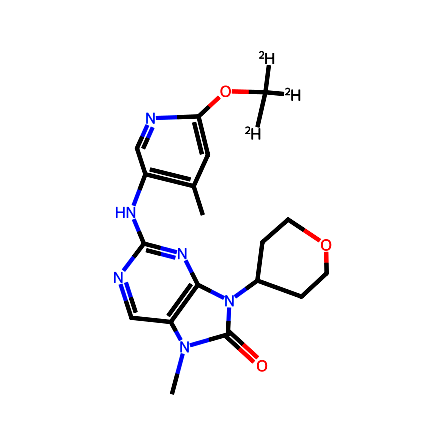 [2H]C([2H])([2H])Oc1cc(C)c(Nc2ncc3c(n2)n(C2CCOCC2)c(=O)n3C)cn1